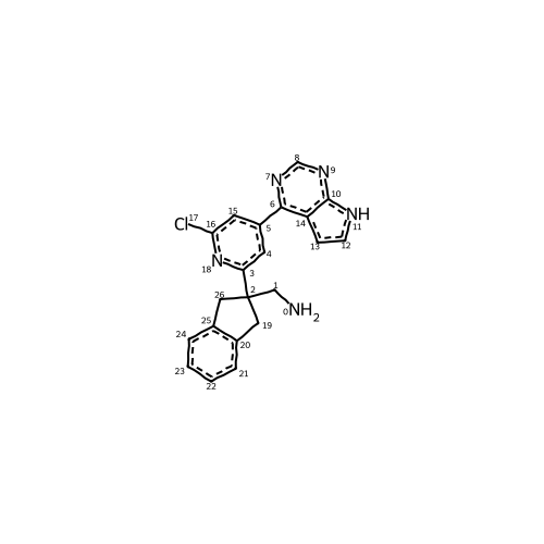 NCC1(c2cc(-c3ncnc4[nH]ccc34)cc(Cl)n2)Cc2ccccc2C1